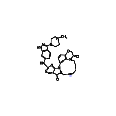 CN1CCN(c2n[nH]c3cc(Nc4ncc5c(=O)n6n(c5n4)-c4ccc5c(c4)N(CCC/C=C\C6)C(=O)CO5)ccc23)CC1